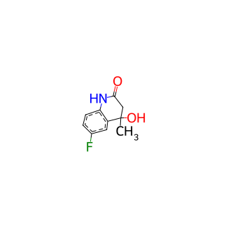 CC1(O)CC(=O)Nc2ccc(F)cc21